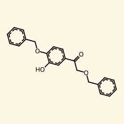 O=C(COCc1ccccc1)c1ccc(OCc2ccccc2)c(O)c1